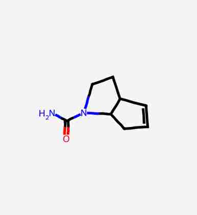 NC(=O)N1CCC2C=CCC21